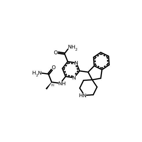 C[C@H](Nc1cc(C(N)=O)nc(C2c3ccccc3CC23CCNCC3)n1)C(N)=O